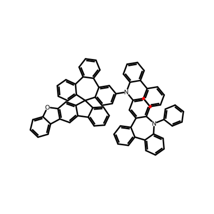 c1ccc(-c2ccccc2N(c2ccc3c(c2)-c2ccccc2-c2ccccc2N3c2ccccc2)c2ccc3c(c2)-c2ccccc2-c2ccccc2C32c3ccccc3-c3cc4c(cc32)oc2ccccc24)cc1